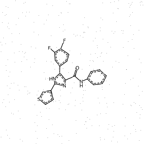 O=C(Nc1ccccc1)c1nc(-c2ccsc2)[nH]c1-c1ccc(F)c(F)c1